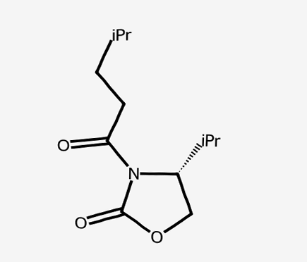 CC(C)CCC(=O)N1C(=O)OC[C@H]1C(C)C